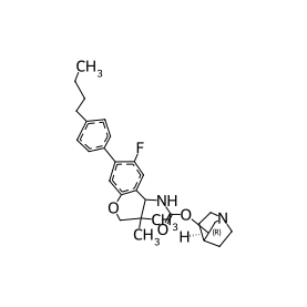 CCCCc1ccc(-c2cc3c(cc2F)C(NC(=O)O[C@H]2CN4CCC2CC4)C(C)(C)CO3)cc1